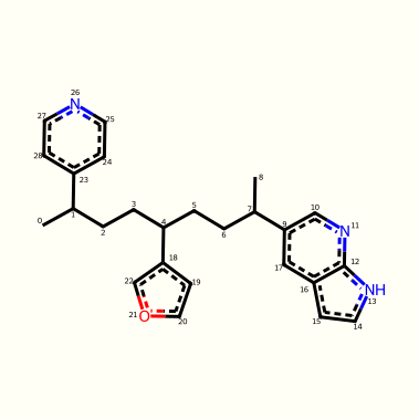 CC(CCC(CCC(C)c1cnc2[nH]ccc2c1)c1ccoc1)c1ccncc1